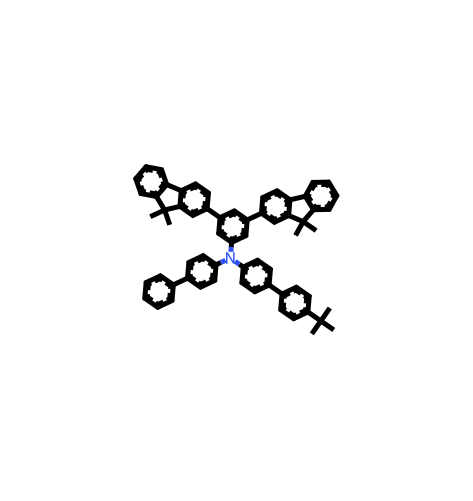 CC(C)(C)c1ccc(-c2ccc(N(c3ccc(-c4ccccc4)cc3)c3cc(-c4ccc5c(c4)C(C)(C)c4ccccc4-5)cc(-c4ccc5c(c4)C(C)(C)c4ccccc4-5)c3)cc2)cc1